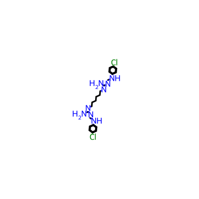 NC(=N/CCCCCC/N=C(N)/N=C/Nc1ccc(Cl)cc1)/N=C/Nc1ccc(Cl)cc1